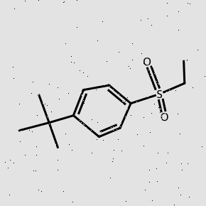 [CH2]CS(=O)(=O)c1ccc(C(C)(C)C)cc1